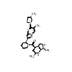 Cc1cn2nc([C@@H]3CCCCN3C(=O)C3CC(C)NC4C3CNN4C)cc2nc1N1CC[C@H](N)C1